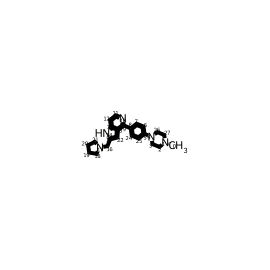 CN1CCN(c2ccc(-c3nccc4[nH]c(CN5CCCC5)cc34)cc2)CC1